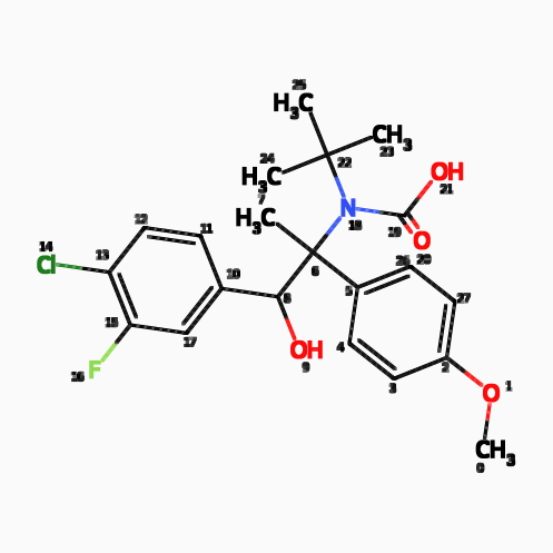 COc1ccc(C(C)(C(O)c2ccc(Cl)c(F)c2)N(C(=O)O)C(C)(C)C)cc1